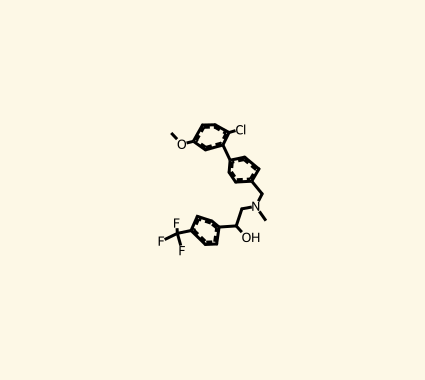 COc1ccc(Cl)c(-c2ccc(CN(C)CC(O)c3ccc(C(F)(F)F)cc3)cc2)c1